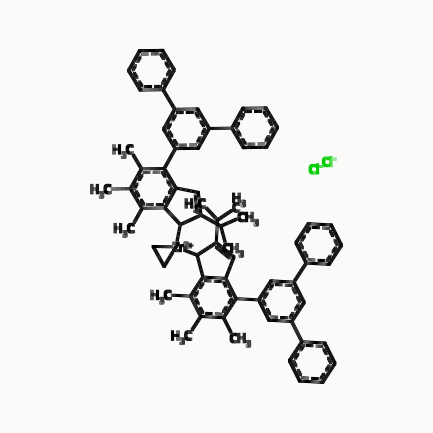 Cc1c(C)c(-c2cc(-c3ccccc3)cc(-c3ccccc3)c2)c2c(c1C)[CH]([Zr+2]1([CH]3C(C(C)C)=Cc4c(-c5cc(-c6ccccc6)cc(-c6ccccc6)c5)c(C)c(C)c(C)c43)[CH2][CH2]1)C(C(C)C)=C2.[Cl-].[Cl-]